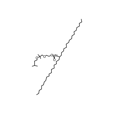 CCCCCCCCCCCCCCCCCCC(CCCCCCCCCCCCCCCCCC)NC(=O)OCCOCC(C)(C)OCCC(C)C